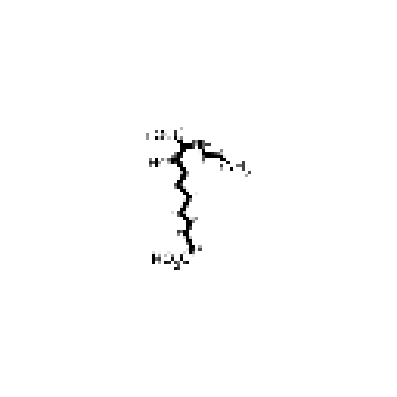 CCCCCCCCC(NCCN)C(O)CCCCCCCC(=O)O